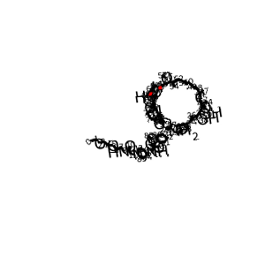 CCOCCOCCNC(=O)CN1CCC(NC(=O)O[C@@H]2CC[C@@H](C[C@@H](N)[C@@H]3C[C@@H](OC)[C@H](C)/C=C(\C)[C@@H](O)[C@@H](O)C(=O)[C@H](C)C[C@H](C)/C=C/C=C/C=C(\C)[C@@H](OC)C[C@@H]4CC[C@@H](C)[C@@](O)(O4)C(=O)C(=O)N4CCCC[C@H]4C(=O)O3)C[C@H]2OC)CC1